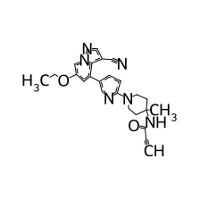 C#CC(=O)NC1(C)CCN(c2ccc(-c3cc(OCC)cn4ncc(C#N)c34)cn2)CC1